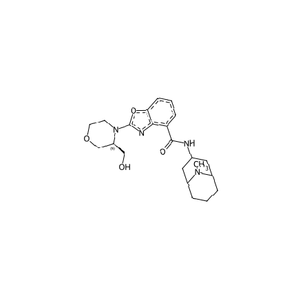 CN1C2CCCC1CC(NC(=O)c1cccc3oc(N4CCOC[C@@H]4CO)nc13)C2